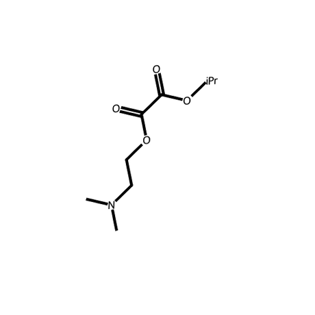 CC(C)OC(=O)C(=O)OCCN(C)C